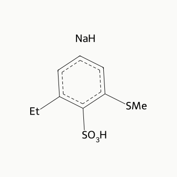 CCc1cccc(SC)c1S(=O)(=O)O.[NaH]